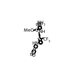 COCCOc1cc(S(N)(=O)=O)ccc1NCC#Cc1sc2c(NC3CCC(N4CCS(=O)(=O)CC4)CC3)cccc2c1CC(F)(F)F